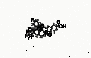 C[C@H]1CC(C(=O)O)CC[C@H]1C(=O)N1CC[C@]2(S(=O)(=O)c3ccc(F)cc3)c3ccc(C(F)(C(F)(F)F)C(F)(F)F)cc3CC[C@H]12